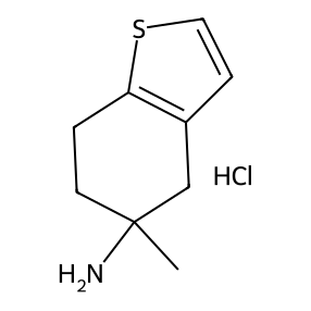 CC1(N)CCc2sccc2C1.Cl